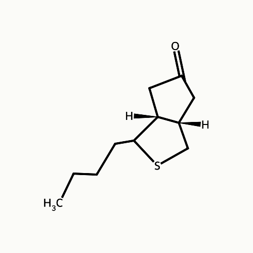 CCCCC1SC[C@H]2CC(=O)C[C@@H]12